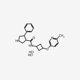 Cc1ccc(OC2CC(NC(=O)C3CNCC3c3ccccc3)C2)cn1.Cl.Cl